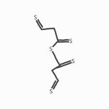 S=CCC(=S)SC(=S)CC=S